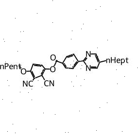 CCCCCCCc1cnc(-c2ccc(C(=O)Oc3ccc(OCCCCC)c(C#N)c3C#N)cc2)nc1